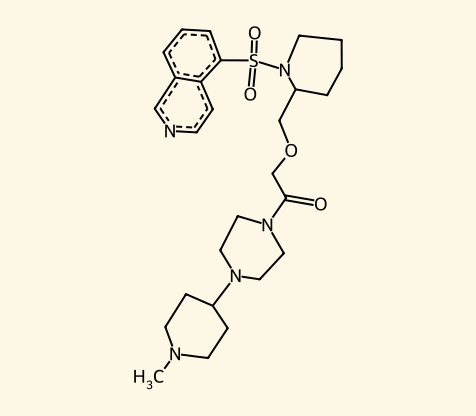 CN1CCC(N2CCN(C(=O)COCC3CCCCN3S(=O)(=O)c3cccc4cnccc34)CC2)CC1